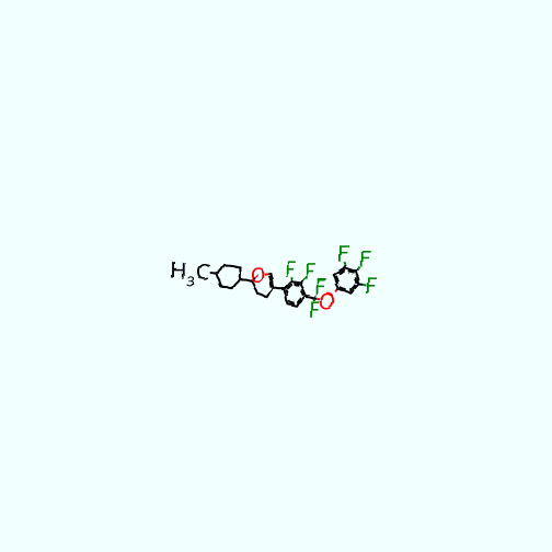 CC1CCC(C2CCC(c3ccc(C(F)(F)Oc4cc(F)c(F)c(F)c4)c(F)c3F)=CO2)CC1